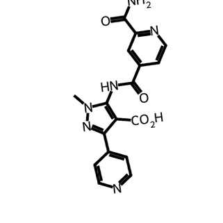 Cn1nc(-c2ccncc2)c(C(=O)O)c1NC(=O)c1ccnc(C(N)=O)c1